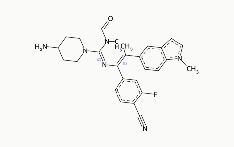 C/C(=C(\N=C(/N(C)C=O)N1CCC(N)CC1)c1ccc(C#N)c(F)c1)c1ccc2c(ccn2C)c1